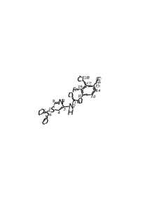 O=C(NC1=CS(=S(=O)=O)C=N1)Oc1ccc(F)c(Cl)c1F